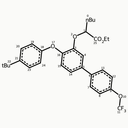 CCCCC(Oc1cc(-c2ccc(OC(F)(F)F)cc2)ccc1Oc1ccc(C(C)(C)C)cc1)C(=O)OCC